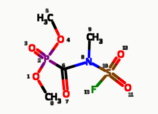 COP(=O)(OC)C(=O)N(C)S(=O)(=O)F